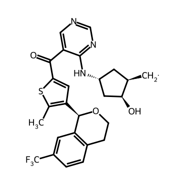 [CH2][C@@H]1C[C@@H](Nc2ncncc2C(=O)c2cc([C@H]3OCCc4ccc(C(F)(F)F)cc43)c(C)s2)C[C@@H]1O